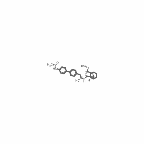 C[S+]([O-])Nc1ccc(-c2ccc(C[C@@H](C#N)NC(=O)[C@@H]3C4CCC(CC4)N3C(=O)OC(C)(C)C)cc2)cc1